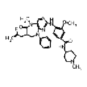 C=C(F)CC1CN(c2ccccc2)c2nc(Nc3ccc(C(=O)NC4CCN(C)CC4)cc3OC)ncc2N(C)C1=O